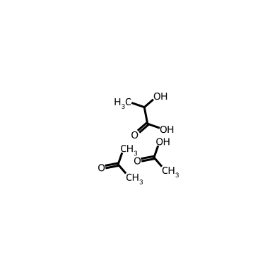 CC(=O)O.CC(C)=O.CC(O)C(=O)O